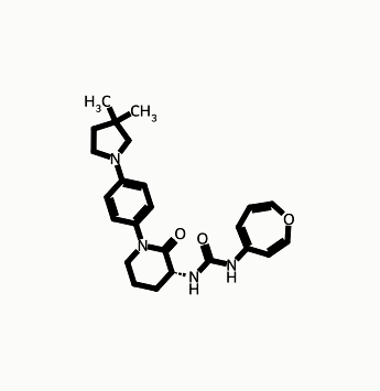 CC1(C)CCN(c2ccc(N3CCC[C@@H](NC(=O)NC4=CC=COC=C4)C3=O)cc2)C1